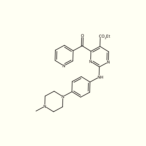 CCOC(=O)c1cnc(Nc2ccc(N3CCN(C)CC3)cc2)nc1C(=O)c1cccnc1